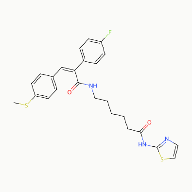 CSc1ccc(/C=C(\C(=O)NCCCCCC(=O)Nc2nccs2)c2ccc(F)cc2)cc1